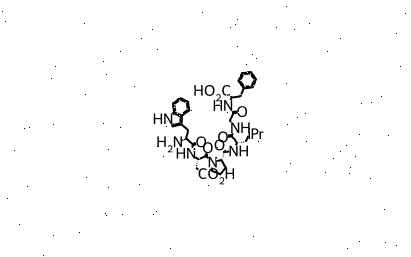 CC(C)C[C@H](NC(=O)[C@@H]1CCCN1C(=O)[C@H](CC(=O)O)NC(=O)[C@@H](N)Cc1c[nH]c2ccccc12)C(=O)NCC(=O)N[C@@H](Cc1ccccc1)C(=O)O